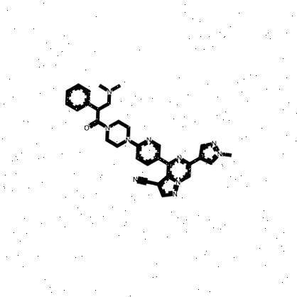 CN(C)CC(C(=O)N1CCN(c2ccc(-c3nc(-c4cnn(C)c4)cn4ncc(C#N)c34)cn2)CC1)c1ccccc1